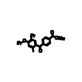 COC(=O)c1ccc(C(=O)c2cc(C(C)C)c(OC(C)C)cc2C)cc1